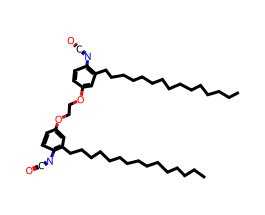 CCCCCCCCCCCCCCCc1cc(OCCOc2ccc(N=C=O)c(CCCCCCCCCCCCCCC)c2)ccc1N=C=O